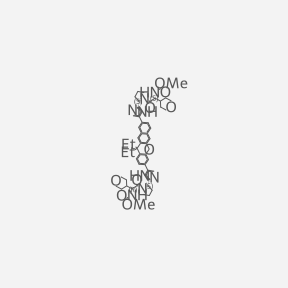 CCC1(CC)c2ccc(-c3cnc([C@@H]4CCCN4C(=O)[C@H](NC(=O)OC)C4CCOCC4)[nH]3)cc2Oc2cc3ccc(-c4cnc([C@@H]5CCCN5C(=O)[C@@H](NC(=O)OC)C5CCOCC5)[nH]4)cc3cc21